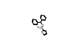 c1ccc(C(O[SiH2]c2cccs2)c2ccccc2)cc1